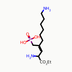 CCOC(=O)C(N)C=C(CCCCCCN)CP(=O)(O)O